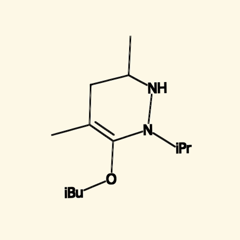 CCC(C)OC1=C(C)CC(C)NN1C(C)C